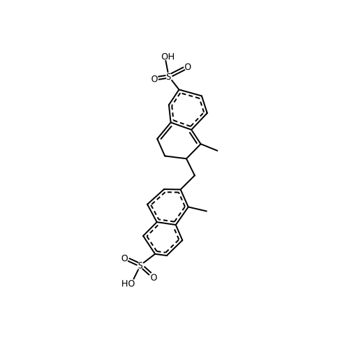 CC1=c2ccc(S(=O)(=O)O)cc2=CCC1Cc1ccc2cc(S(=O)(=O)O)ccc2c1C